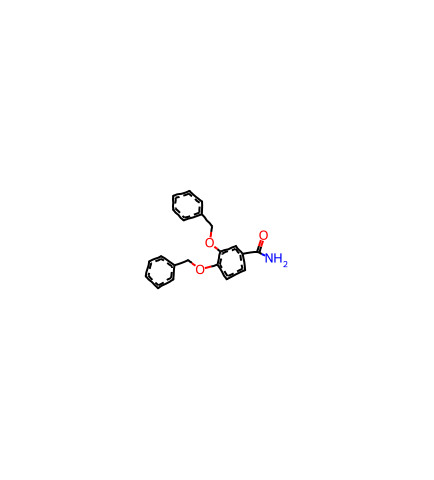 NC(=O)c1ccc(OCc2ccccc2)c(OCc2ccccc2)c1